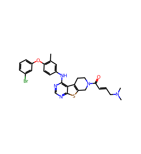 Cc1cc(Nc2ncnc3sc4c(c23)CCN(C(=O)/C=C/CN(C)C)C4)ccc1Oc1cccc(Br)c1